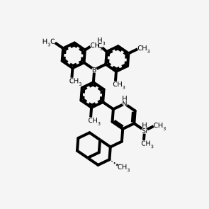 Cc1cc(C)c(B(c2ccc(C)c(C3C=C(CC4C5CCCC(C5)C[C@H]4C)C([SiH](C)C)=CN3)c2)c2c(C)cc(C)cc2C)c(C)c1